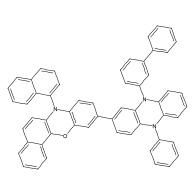 c1ccc(-c2cccc(N3c4ccccc4N(c4ccccc4)c4ccc(-c5ccc6c(c5)Oc5c(ccc7ccccc57)N6c5cccc6ccccc56)cc43)c2)cc1